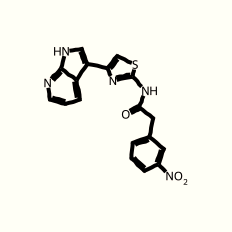 O=C(Cc1cccc([N+](=O)[O-])c1)Nc1nc(-c2c[nH]c3ncccc23)cs1